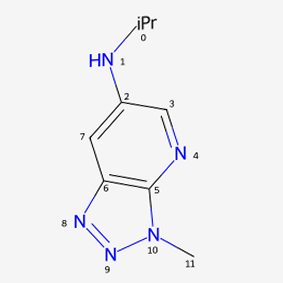 CC(C)Nc1cnc2c(c1)nnn2C